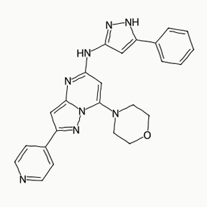 c1ccc(-c2cc(Nc3cc(N4CCOCC4)n4nc(-c5ccncc5)cc4n3)n[nH]2)cc1